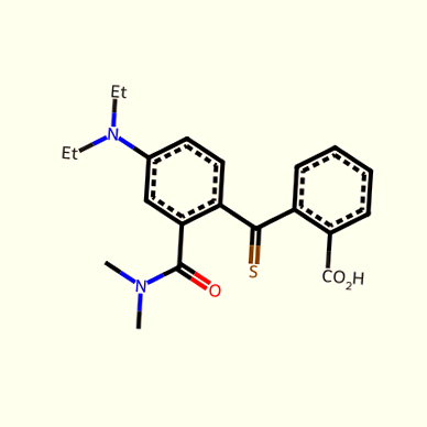 CCN(CC)c1ccc(C(=S)c2ccccc2C(=O)O)c(C(=O)N(C)C)c1